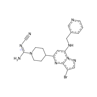 N#C/N=C(/N)N1CCC(c2cc(NCc3cccnc3)n3ncc(Br)c3n2)CC1